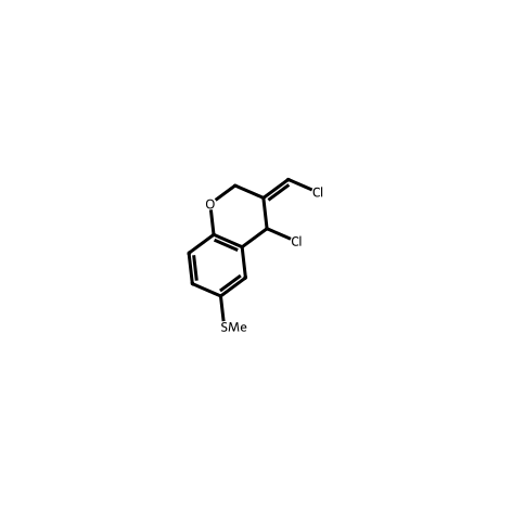 CSc1ccc2c(c1)C(Cl)/C(=C\Cl)CO2